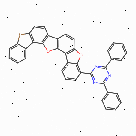 c1ccc(-c2nc(-c3ccccc3)nc(-c3cccc4c3oc3ccc5c6ccc7sc8ccccc8c7c6oc5c34)n2)cc1